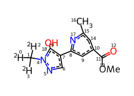 [2H]C([2H])([2H])n1ncc(-c2cc(C(=O)OC)cc(C)n2)c1O